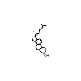 CC(C)=CCC[C@@H](C)[C@H]1CCc2c1ccc1c2CCC2C[C@@H](O)CC[C@]12C